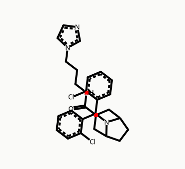 O=C(NCCCn1ccnc1)C1CC2CCC(C1)N2C(c1ccccc1Cl)c1ccccc1Cl